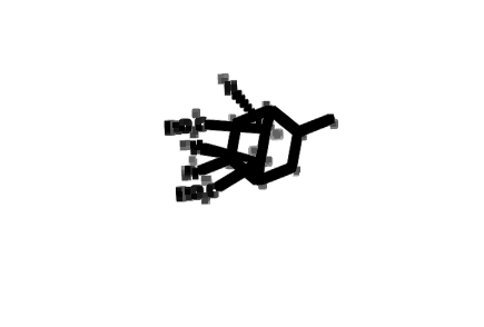 CCOC(=O)[C@H]1C2CC(C(C)C)C(CC2C)[C@@H]1C(=O)OCC